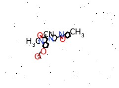 Cc1ccc2oc(C3CCN(c4c(C#N)c(=O)n(C)c5cc(OCC6CO6)ccc45)CC3)nc2c1